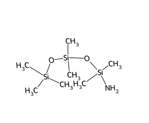 C[Si](C)(C)O[Si](C)(C)O[Si](C)(C)N